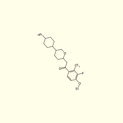 CCCC1CCC(C2CCC(CC(=O)c3ccc(OCC)c(F)c3C(F)(F)F)OC2)CC1